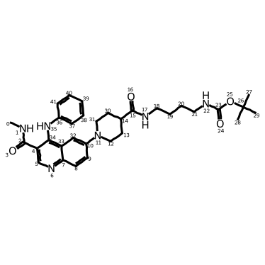 CNC(=O)c1cnc2ccc(N3CCC(C(=O)NCCCCNC(=O)OC(C)(C)C)CC3)cc2c1Nc1ccccc1